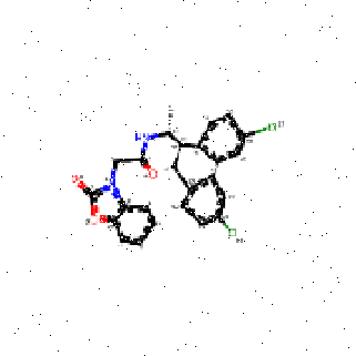 C[C@@H](NC(=O)Cn1c(=O)oc2ccccc21)[C@H](Cc1ccc(Cl)cc1)c1ccc(Cl)cc1